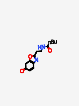 CCCCC(=O)NCCc1nc2c(o1)CC(=O)C=C2